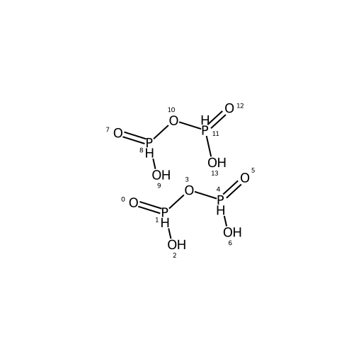 O=[PH](O)O[PH](=O)O.O=[PH](O)O[PH](=O)O